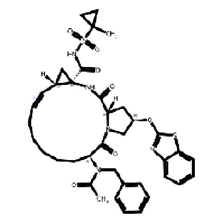 CC(=O)N(Cc1ccccc1)[C@H]1CCCCC/C=C\[C@@H]2C[C@@]2(C(=O)NS(=O)(=O)C2(C)CC2)NC(=O)[C@@H]2C[C@@H](Oc3nc4ccccc4s3)CN2C1=O